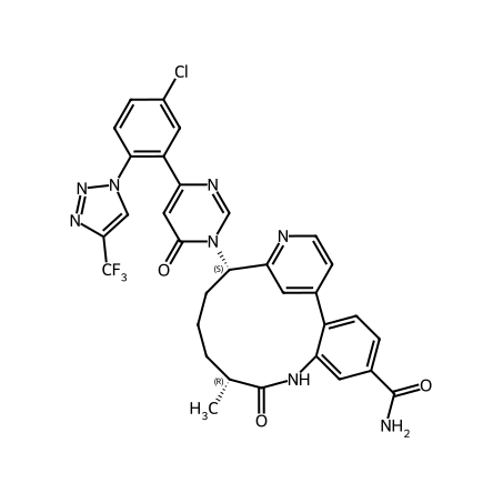 C[C@@H]1CCC[C@H](n2cnc(-c3cc(Cl)ccc3-n3cc(C(F)(F)F)nn3)cc2=O)c2cc(ccn2)-c2ccc(C(N)=O)cc2NC1=O